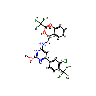 COc1nc(NC[C@H](OC(=O)C(F)(F)F)c2ccccc2)cc(-c2ccc(C(F)(F)F)c(Cl)c2)n1